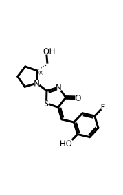 O=C1N=C(N2CCC[C@@H]2CO)SC1=Cc1cc(F)ccc1O